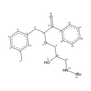 Cc1cccc(CC(OCC(O)CNC(C)(C)C)C(=O)c2ccccc2)c1